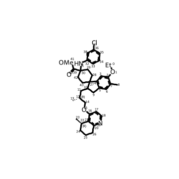 CCOc1cc2c(cc1C)CC(C[C@@H](C)COc1ccnc3c1[C@H](C)CCC3)C21CCC(Nc2cccc(Cl)c2)(C(=O)OC)CC1